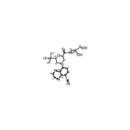 N#Cc1ccc(N2CC(C(=O)NC[C@H](O)CO)OC(C(F)(F)F)C2)c2nccnc12